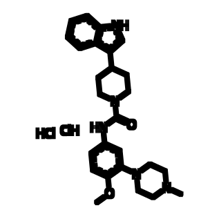 COc1ccc(NC(=O)N2CCC(c3c[nH]c4ccccc34)CC2)cc1N1CCN(C)CC1.Cl.Cl